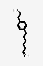 [CH]=CCCCCCc1ccc(CCC)cc1